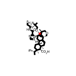 CC(C)[C@@H](C)[C@@]1(C)CC[C@]2(C)[C@H]3CC[C@@H]4[C@@]5(COC[C@@]4(C)[C@@H](OC[C@](C)(N)C(C)C)[C@H](n4ncnc4C(=O)NCCF)C5)C3=CC[C@@]2(C)[C@@H]1C(=O)O